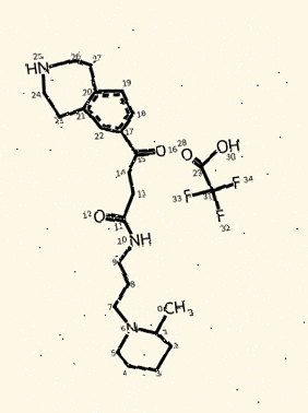 CC1CCCCN1CCCNC(=O)CCC(=O)c1ccc2c(c1)CCNCC2.O=C(O)C(F)(F)F